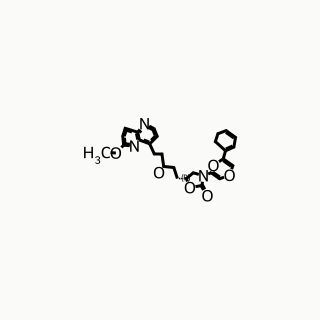 COc1ccc2nccc(CCC(=O)CC[C@@H]3CN(C4=COC=C(C5=CC=CCC5)O4)C(=O)O3)c2n1